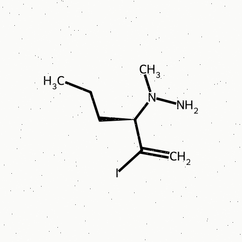 C=C(I)[C@@H](CCC)N(C)N